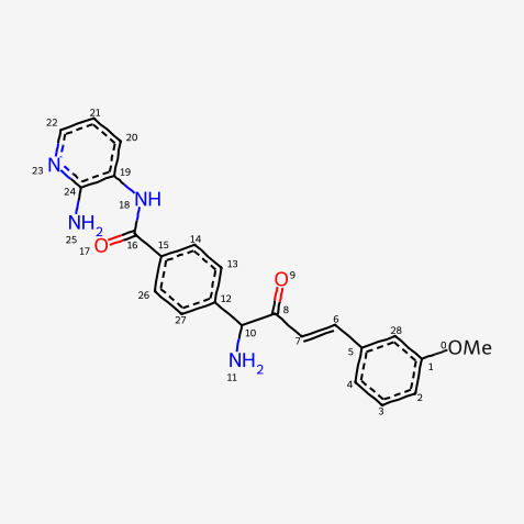 COc1cccc(/C=C/C(=O)C(N)c2ccc(C(=O)Nc3cccnc3N)cc2)c1